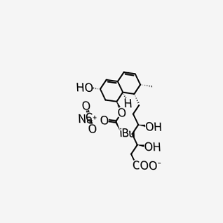 CC[C@H](C)C(=O)O[C@H]1C[C@H](O)C=C2C=C[C@H](C)[C@H](CC[C@@H](O)C[C@@H](O)CC(=O)[O-])[C@H]21.O=C=O.[Na+]